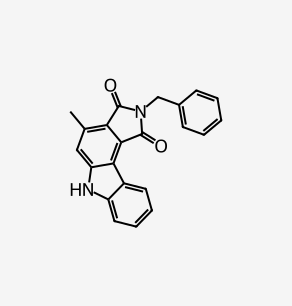 Cc1cc2[nH]c3ccccc3c2c2c1C(=O)N(Cc1ccccc1)C2=O